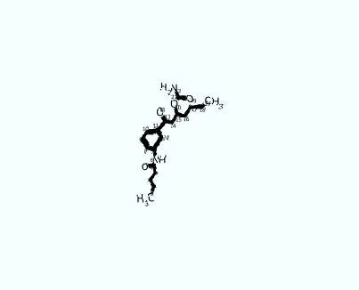 CCCCC(=O)Nc1cccc(C(=O)CC(CCCC)OC(N)=O)c1